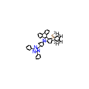 [2H]c1c([2H])c([2H])c2c(sc3c2ccc2c3c3c4ccccc4c4ccccc4c3n2-c2ccc(-c3nc(-c4ccccc4)nc(-c4ccccc4)n3)cc2)c1[2H]